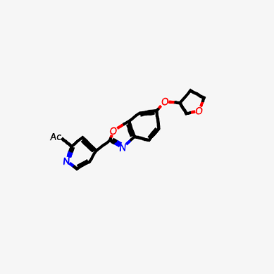 CC(=O)c1cc(-c2nc3ccc(OC4CCOC4)cc3o2)ccn1